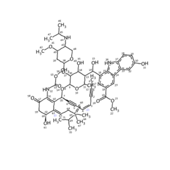 CC#C/C=C\C#C[C@H](OC1OC(C)C(C(O)c2nc(C(=O)OC)cc3c2[nH]c2ccc(O)cc23)C(O)C1OC1CC(OC)C(NC(C)C)CO1)C1=C(NC(=O)OC)C(=O)C[C@H](O)/C1=C/CS(C)(C)(=S)C(C)C